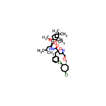 CO[C@@H]1CC2C[C@@H](C2(C)C)[C@]1(C)O/C=C(/CC(C)C)NC(=O)C1(Cc2ccccc2)CC(COC[C@@H]2CCC(Cl)CCC2Cl)=NO1